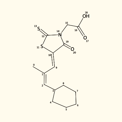 CC(=CC1CCCCC1)C=C1SC(=S)N(CC(=O)O)C1=O